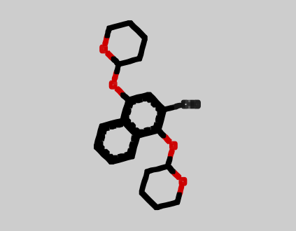 O=Cc1cc(OC2CCCCO2)c2ccccc2c1OC1CCCCO1